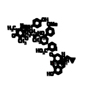 CC(=O)Nc1ccc(O)cc1.COc1cccc([C@@]2(O)CCCC[C@@H]2CN(C)C)c1.Cn1c(=O)c2c(ncn2C)n(C)c1=O.O=C(O)c1cccnc1.O=C1CC[C@@]2(O)[C@H]3Cc4ccc(O)c5c4[C@@]2(CCN3CC2CC2)[C@H]1O5